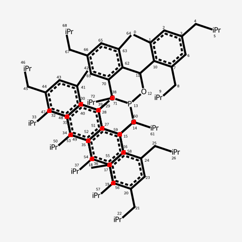 Cc1cc(CC(C)C)cc(CC(C)C)c1C(OP(OC(c1c(C)cc(CC(C)C)cc1CC(C)C)c1c(C)cc(CC(C)C)cc1CC(C)C)OC(c1c(C)cc(CC(C)C)cc1CC(C)C)c1c(C)cc(CC(C)C)cc1CC(C)C)c1c(C)cc(CC(C)C)cc1CC(C)C